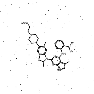 COCCN1CCC(c2cc3c(cc2C)N(c2nc(Nc4ccccc4[S+]([O-])C(C)C)c4c(C)c[nH]c4n2)C(C)O3)CC1